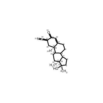 C[C@]1(O)CCC2C3CCC4=CC(=O)C(=[N+]=[N-])C[C@@H]4C3CC[C@@]21C